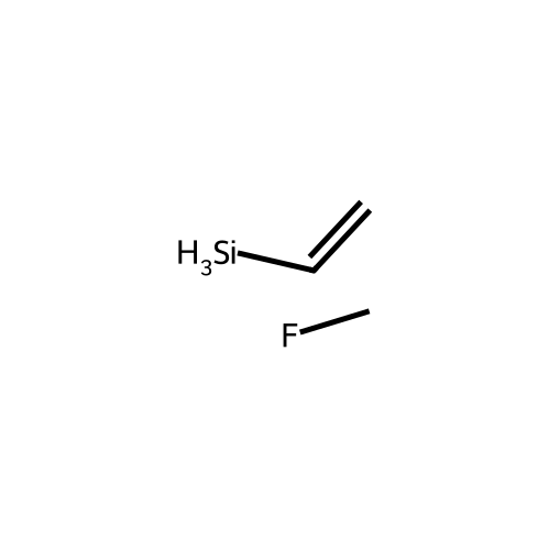 C=C[SiH3].CF